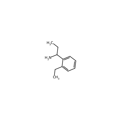 CC[C](N)c1ccccc1CC